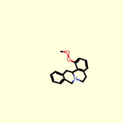 COOc1cccc2c1C1Cc3ccccc3CN1CC2